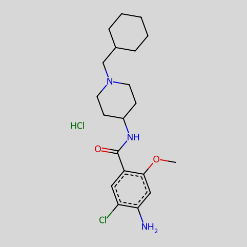 COc1cc(N)c(Cl)cc1C(=O)NC1CCN(CC2CCCCC2)CC1.Cl